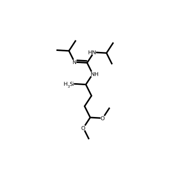 COC(CCC([SiH3])NC(=NC(C)C)NC(C)C)OC